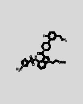 COCCn1cc(C(=O)N2CCC(c3cc(CN)ccc3F)CC2)c2c(NS(=O)(=O)c3cn(C)cn3)cccc21